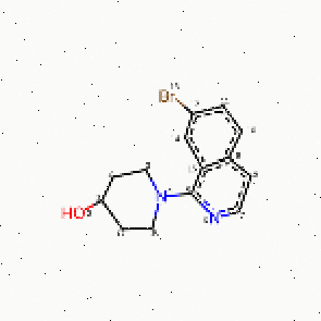 OC1CCN(c2nccc3ccc(Br)cc23)CC1